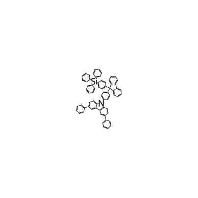 c1ccc(-c2ccc3c(c2)c2cc(-c4ccccc4)ccc2n3-c2ccc(C3(c4ccc([Si](c5ccccc5)(c5ccccc5)c5ccccc5)cc4)c4ccccc4-c4ccccc43)cc2)cc1